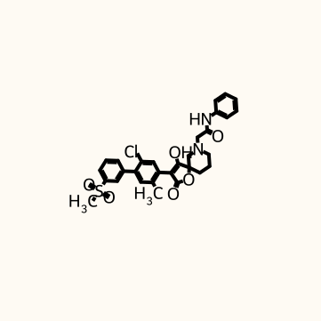 Cc1cc(-c2cccc(S(C)(=O)=O)c2)c(Cl)cc1C1=C(O)C2(CCCN(CC(=O)Nc3ccccc3)C2)OC1=O